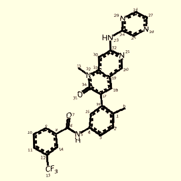 Cc1ccc(NC(=O)c2cccc(C(F)(F)F)c2)cc1-c1cc2cnc(Nc3cnccn3)cc2n(C)c1=O